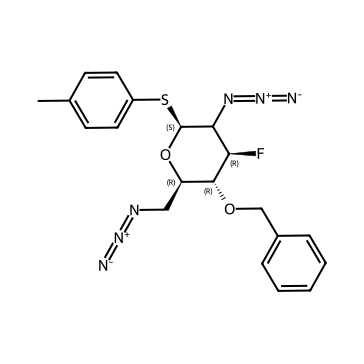 Cc1ccc(S[C@@H]2O[C@H](CN=[N+]=[N-])[C@@H](OCc3ccccc3)[C@H](F)C2N=[N+]=[N-])cc1